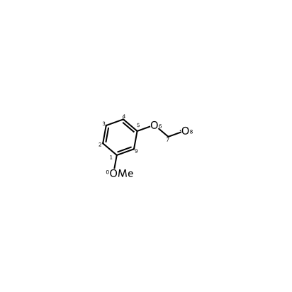 COc1cccc(OC[O])c1